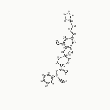 C#C[C@H](CC(=O)N1CCC(O)(Cn2cnc(/C=C/CN3CCCC3)cc2=O)CC1)c1ccccc1